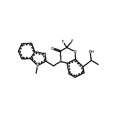 CC(O)c1cccc2c1OC(F)(F)C(=O)N2Cc1nc2ccccc2n1C